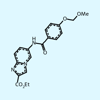 CCOC(=O)c1cn2cc(NC(=O)c3ccc(OCOC)cc3)ccc2n1